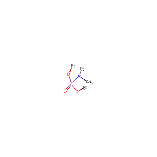 CCOP(=O)(OCC)N(C)CC